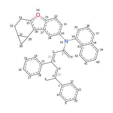 C=C(/C=C(\C=C(/C)c1ccccc1)c1ccccc1)N(c1ccc2oc3c(c2c1)C1CC1CC3)c1cccc2ccccc12